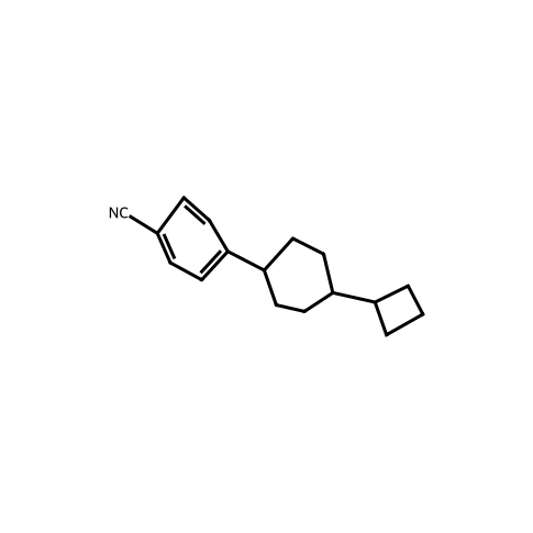 N#Cc1ccc(C2CCC(C3CCC3)CC2)cc1